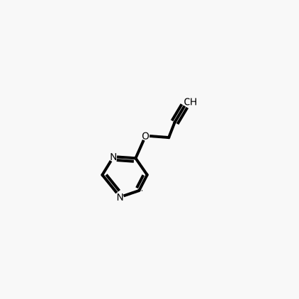 C#CCOc1c[c]ncn1